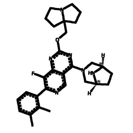 Cc1cccc(-c2ncc3c(N4C[C@H]5CC[C@@H](C4)N5)nc(OCC45CCCN4CCC5)nc3c2F)c1C